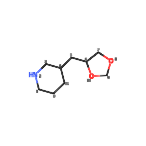 C1CNCC(CC2COCO2)C1